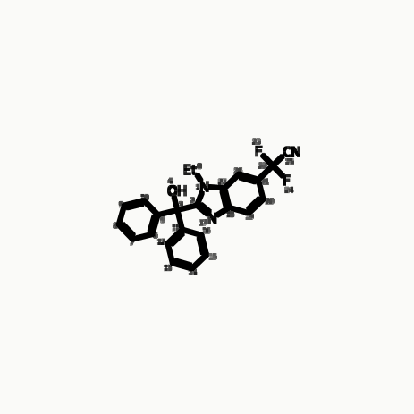 CCn1c(C(O)(c2ccccc2)c2ccccc2)nc2ccc(C(F)(F)C#N)cc21